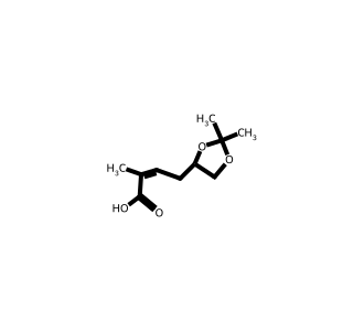 CC(=CCC1COC(C)(C)O1)C(=O)O